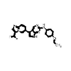 CCO[C@H]1CC[C@@H](Nc2ncc3c(-c4ccc5ncc(C(F)F)n5c4)c[nH]c3n2)CC1